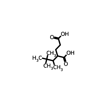 CC(C(CCC(=O)O)C(=O)O)C(C)(C)C